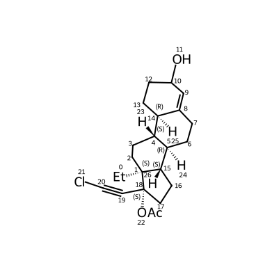 CC[C@]12CC[C@H]3[C@@H](CCC4=CC(O)CC[C@@H]43)[C@@H]1CC[C@]2(C#CCl)OC(C)=O